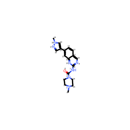 CN1CCN(C(=O)Nc2ncc3ccc(-c4cnn(C)c4)cc3n2)CC1